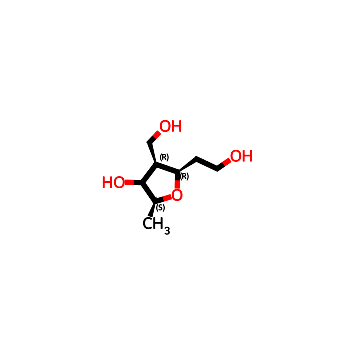 C[C@@H]1O[C@H](CCO)[C@H](CO)C1O